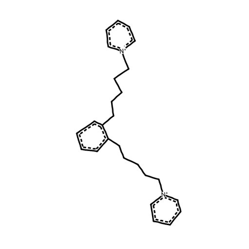 c1cc[n+](CCCCCc2ccccc2CCCCC[n+]2ccccc2)cc1